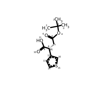 CC(C)(C)OC(=O)C[C@@H](C(=O)O)c1ccsc1